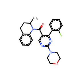 CC1CCc2ccccc2N1C(=O)c1cnc(N2CCOCC2)nc1-c1ccccc1F